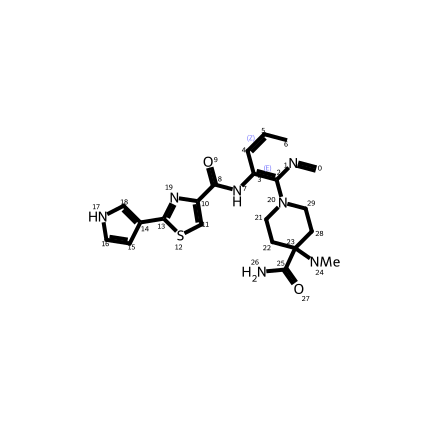 C=N/C(=C(\C=C/C)NC(=O)c1csc(-c2cc[nH]c2)n1)N1CCC(NC)(C(N)=O)CC1